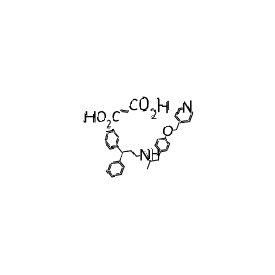 CC(Cc1ccc(OCc2ccncc2)cc1)NCCC(c1ccccc1)c1ccccc1.O=C(O)/C=C/C(=O)O